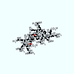 CSCC[C@H](NC(=O)[C@H](CCCNC(=N)N)NC(=O)[C@@H](N)CCC(=O)O)C(=O)N[C@@H](CCCNC(=N)N)C(=O)N1CCC[C@H]1C(=O)N[C@@H](CCCNC(=N)N)C(=O)N[C@@H](CCCCN)C(=O)N[C@@H](CCCNC(=N)N)C(=O)N[C@@H](CCC(N)=O)C(=O)NCC(=O)N[C@@H](CO)C(=O)N[C@H](C(=O)N[C@@H](CCCNC(=N)N)C(=O)N[C@@H](CCCNC(=N)N)C(=O)N[C@@H](CCCNC(=N)N)C(=O)N[C@H](C(=O)O)C(C)C)C(C)C